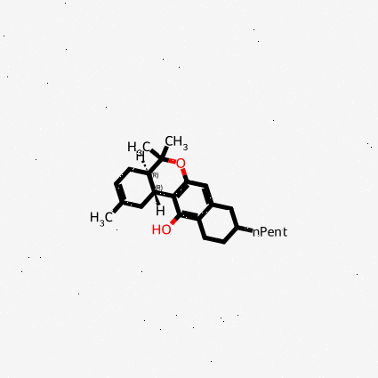 CCCCCC1CCc2c(cc3c(c2O)[C@@H]2CC(C)=CC[C@H]2C(C)(C)O3)C1